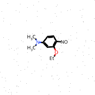 CCOc1cc(N(C)C)ccc1N=O